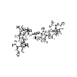 CC1(C)OC2CC3C4CC(F)C5=CC(=O)C=CC5(C)C4(Cl)C(Cl)CC3(C)C2(CC(=O)COBOCC(=P)CC23OC(C)(C)OC2CC2C4CC(F)C5=CC(=O)C=CC5(C)C4(Cl)C(Cl)CC23C)O1